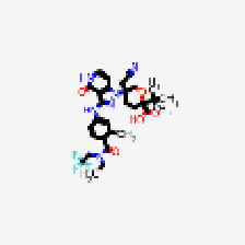 CCN(CC(F)(F)F)C(=O)c1ccc(Nc2nn(C3(CC#N)CCC(C(=O)O)(C(C)(C)C)OC3)c3cc[nH]c(=O)c23)cc1C